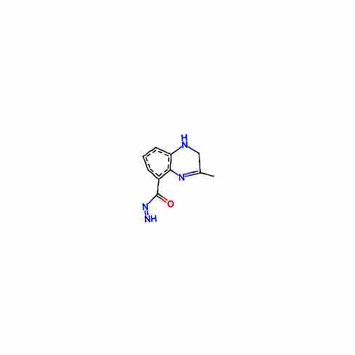 CC1=Nc2c(cccc2C(=O)N=N)NC1